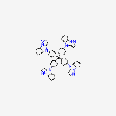 c1ccc2c(c1)n(-c1ccc([Si](c3ccc(-n4c5ccccc5n5nccc45)cc3)(c3ccc(-n4c5ccccc5n5nccc45)cc3)c3ccc(-n4c5ccccc5n5nccc45)cc3)cc1)c1ccnn21